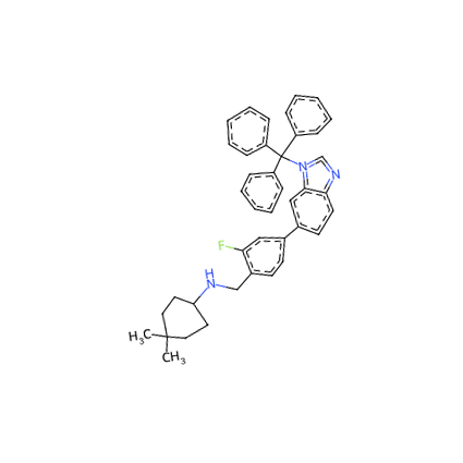 CC1(C)CCC(NCc2ccc(-c3ccc4ncn(C(c5ccccc5)(c5ccccc5)c5ccccc5)c4c3)cc2F)CC1